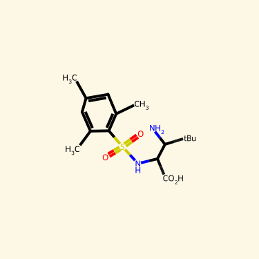 Cc1cc(C)c(S(=O)(=O)NC(C(=O)O)C(N)C(C)(C)C)c(C)c1